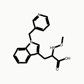 CONC(Cc1cn(Cc2cccnc2)c2ccccc12)C(=O)O